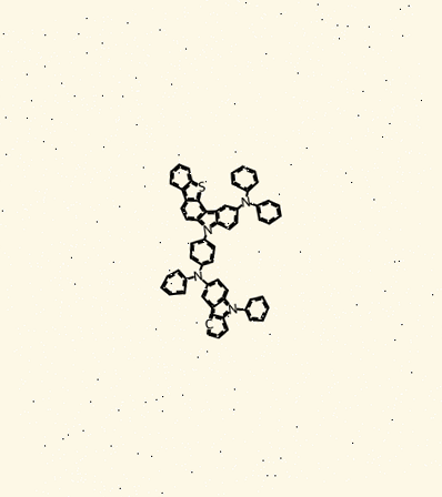 c1ccc(N(c2ccc(-n3c4ccc(N(c5ccccc5)c5ccccc5)cc4c4c5sc6ccccc6c5ccc43)cc2)c2ccc3c(c2)c2ccccc2n3-c2ccccc2)cc1